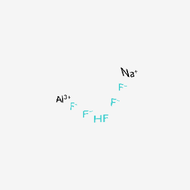 F.[Al+3].[F-].[F-].[F-].[F-].[Na+]